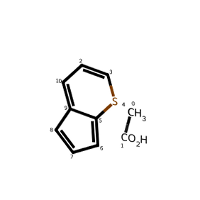 CC(=O)O.c1csc2cccc-2c1